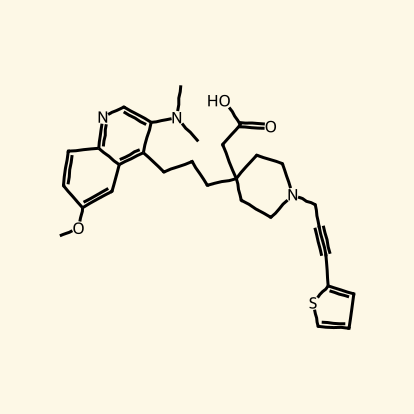 COc1ccc2ncc(N(C)C)c(CCCC3(CC(=O)O)CCN(CC#Cc4cccs4)CC3)c2c1